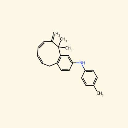 C=C1/C=C\C=C/Cc2ccc(Nc3ccc(C)cc3)cc2C1(C)C